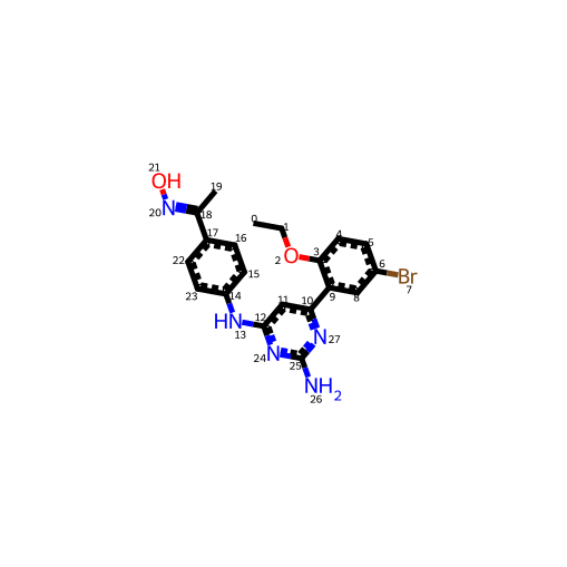 CCOc1ccc(Br)cc1-c1cc(Nc2ccc(/C(C)=N/O)cc2)nc(N)n1